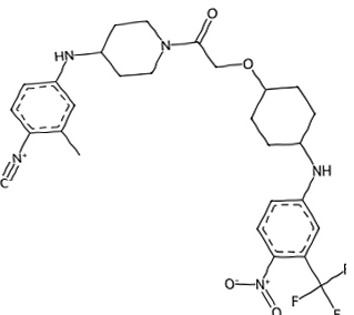 [C-]#[N+]c1ccc(NC2CCN(C(=O)COC3CCC(Nc4ccc([N+](=O)[O-])c(C(F)(F)F)c4)CC3)CC2)cc1C